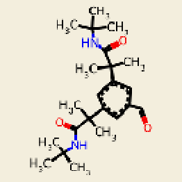 CC(C)(C)NC(=O)C(C)(C)c1cc(C=O)cc(C(C)(C)C(=O)NC(C)(C)C)c1